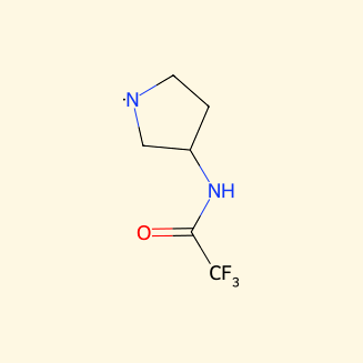 O=C(NC1CC[N]C1)C(F)(F)F